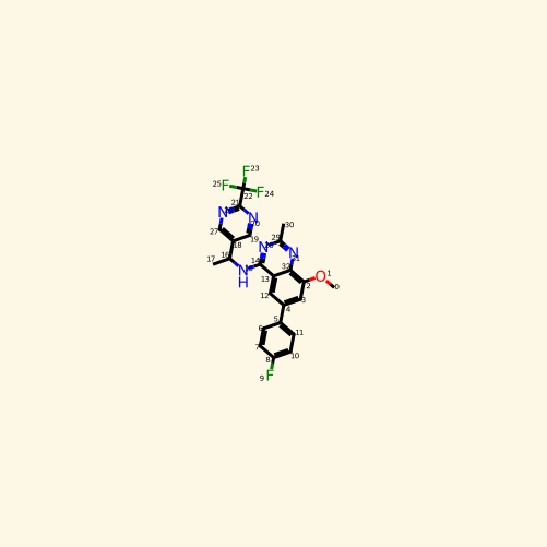 COc1cc(-c2ccc(F)cc2)cc2c(NC(C)c3cnc(C(F)(F)F)nc3)nc(C)nc12